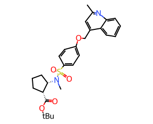 Cc1cc(COc2ccc(S(=O)(=O)N(C)[C@H]3CCC[C@H]3C(=O)OC(C)(C)C)cc2)c2ccccc2n1